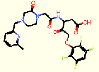 Cc1cccc(CN2CCN(CC(=O)NC(CC(=O)O)C(=O)COc3c(F)c(F)cc(F)c3F)C(=O)C2)n1